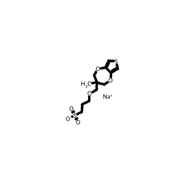 CC1(COCCCS(=O)(=O)[O-])COc2cscc2OC1.[Na+]